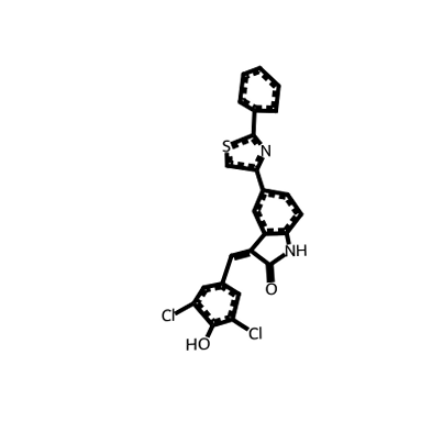 O=C1Nc2ccc(-c3csc(-c4ccccc4)n3)cc2C1=Cc1cc(Cl)c(O)c(Cl)c1